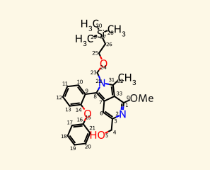 COc1nc(CO)cc2c(-c3ccccc3Oc3ccccc3)n(COCC[Si](C)(C)C)c(C)c12